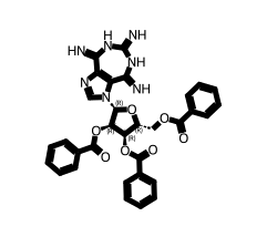 N=c1[nH]c(=N)c2ncn([C@@H]3O[C@H](COC(=O)c4ccccc4)[C@@H](OC(=O)c4ccccc4)[C@H]3OC(=O)c3ccccc3)c2c(=N)[nH]1